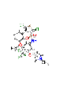 COc1cccc(-c2c(Cl)sc(Cl)c2S(=O)(=O)Nc2ccc(C(F)(F)F)c(O[C@@H]3CCN(C)C3)c2)c1